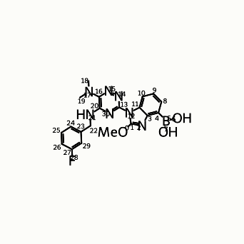 COc1nc2c(B(O)O)cccc2n1-c1nnc(N(C)C)c(NCc2cccc(F)c2)n1